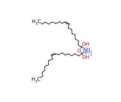 CCCCCCCC/C=C\CCCCCCCC(N)(O)OC(N)(O)CCCCCCC/C=C\CCCCCCCC